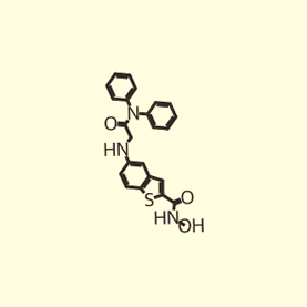 O=C(NO)c1cc2cc(NCC(=O)N(c3ccccc3)c3ccccc3)ccc2s1